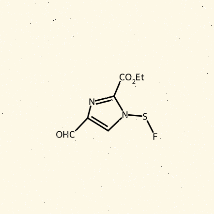 CCOC(=O)c1nc(C=O)cn1SF